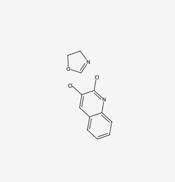 C1=NCCO1.Clc1cc2ccccc2nc1Cl